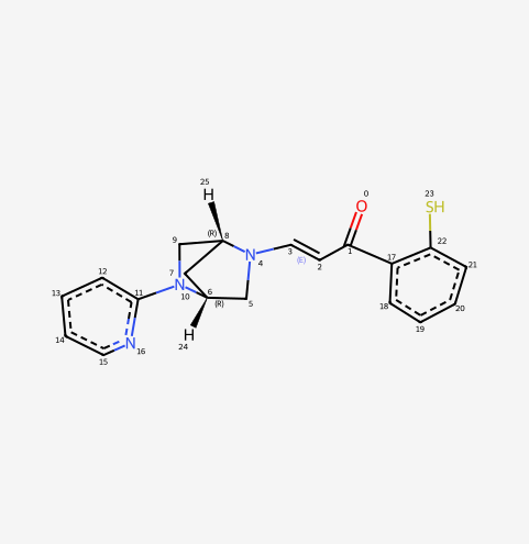 O=C(/C=C/N1C[C@H]2C[C@@H]1CN2c1ccccn1)c1ccccc1S